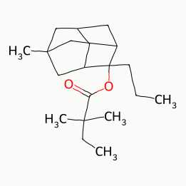 CCCC1(OC(=O)C(C)(C)CC)C2CC3CC1CC(C)(C3)C2